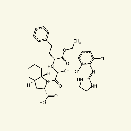 CCOC(=O)[C@H](CCc1ccccc1)N[C@@H](C)C(=O)N1[C@H](C(=O)O)C[C@H]2CCCC[C@@H]21.Clc1cccc(Cl)c1N=C1NCCN1